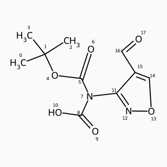 CC(C)(C)OC(=O)N(C(=O)O)c1nocc1C=O